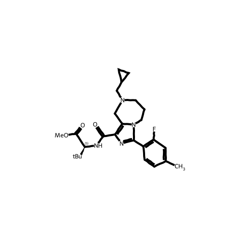 COC(=O)[C@@H](NC(=O)c1nc(-c2ccc(C)cc2F)n2c1CN(CC1CC1)CCC2)C(C)(C)C